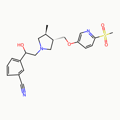 C[C@@H]1CN(CC(O)c2cccc(C#N)c2)C[C@H]1COc1ccc(S(C)(=O)=O)nc1